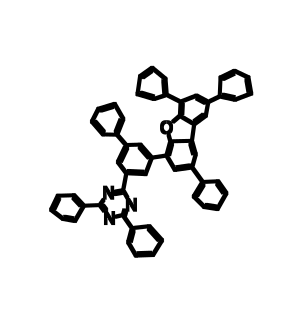 c1ccc(-c2cc(-c3nc(-c4ccccc4)nc(-c4ccccc4)n3)cc(-c3cc(-c4ccccc4)cc4c3oc3c(-c5ccccc5)cc(-c5ccccc5)cc34)c2)cc1